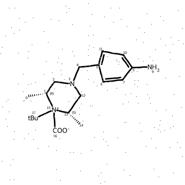 C[C@@H]1CN(Cc2ccc(N)cc2)C[C@H](C)[N+]1(C(=O)[O-])C(C)(C)C